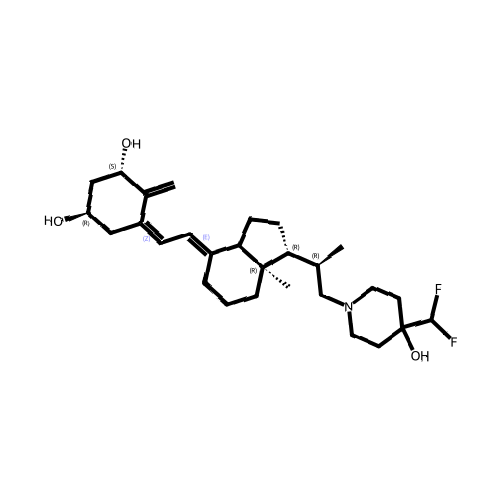 C=C1/C(=C\C=C2/CCC[C@@]3(C)C2CC[C@@H]3[C@@H](C)CN2CCC(O)(C(F)F)CC2)C[C@@H](O)C[C@@H]1O